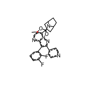 CCOC(=O)N1C2CCC1CC(c1ccnc3c(-c4cccc(F)c4F)c(-c4ccncc4)nn13)C2